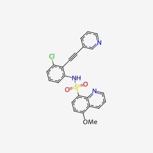 COc1ccc(S(=O)(=O)Nc2cccc(Cl)c2C#Cc2cccnc2)c2ncccc12